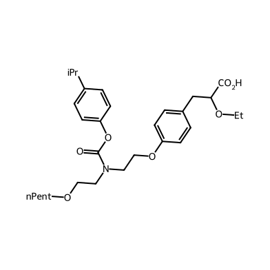 CCCCCOCCN(CCOc1ccc(CC(OCC)C(=O)O)cc1)C(=O)Oc1ccc(C(C)C)cc1